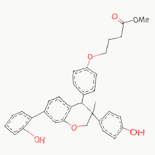 COC(=O)CCCOc1ccc(C2c3ccc(-c4ccccc4O)cc3OCC2(C)c2ccc(O)cc2)cc1